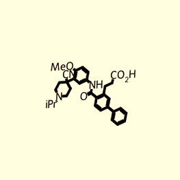 COc1ccc(NC(=O)c2ccc(-c3ccccc3)cc2CCC(=O)O)cc1C1(C#N)CCN(C(C)C)CC1